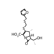 C[C@@H](O)[C@H]1C(=O)N2C(C(=O)O)=C(SCSCc3ccco3)[C@H](C)[C@@H]12